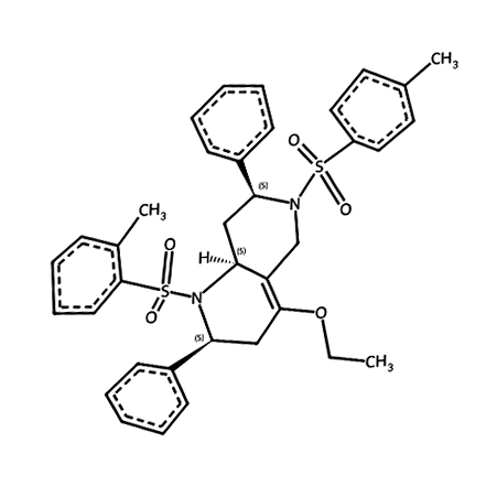 CCOC1=C2CN(S(=O)(=O)c3ccc(C)cc3)[C@H](c3ccccc3)C[C@@H]2N(S(=O)(=O)c2ccccc2C)[C@H](c2ccccc2)C1